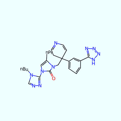 CCCCn1cnnc1-n1cc(CCC)n(CC2(c3cccc(-c4nnn[nH]4)c3)C=CN=CC2)c1=O